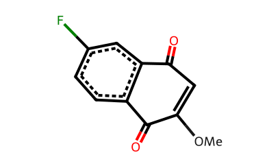 COC1=CC(=O)c2cc(F)ccc2C1=O